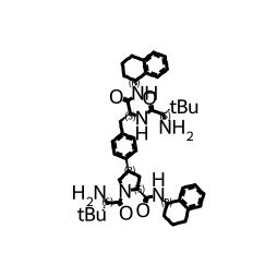 CC(C)(C)[C@H](N)C(=O)N[C@@H](Cc1ccc([C@H]2C[C@@H](C(=O)N[C@@H]3CCCc4ccccc43)N(C(=O)[C@@H](N)C(C)(C)C)C2)cc1)C(=O)N[C@@H]1CCCc2ccccc21